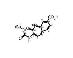 CC(C)(C)OC(=O)Nc1ccc2ccc(C(=O)O)cc2nc1=O